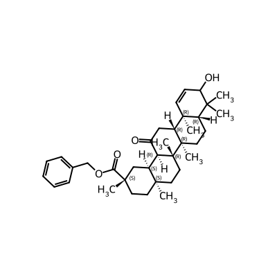 CC1(C)C(O)C=C[C@]2(C)[C@H]3CC(=O)[C@@H]4[C@@H]5C[C@@](C)(C(=O)OCc6ccccc6)CC[C@]5(C)CC[C@@]4(C)[C@]3(C)CC[C@@H]12